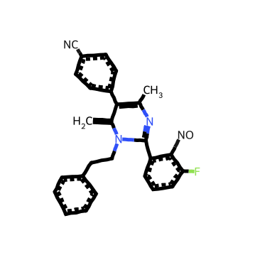 C=C1C(c2ccc(C#N)cc2)=C(C)N=C(c2cccc(F)c2N=O)N1CCc1ccccc1